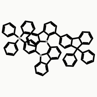 c1ccc(C2(c3ccccc3)c3ccccc3-c3cc(-c4cccc5c6ccccc6n(-c6cccc7c8ccccc8n(-c8ccc([Si](c9ccccc9)(c9ccccc9)c9ccccc9)cc8)c67)c45)ccc32)cc1